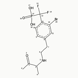 CC(=O)C(C)NCCc1ccc(C(F)(F)P(=O)(O)O)c(Br)c1